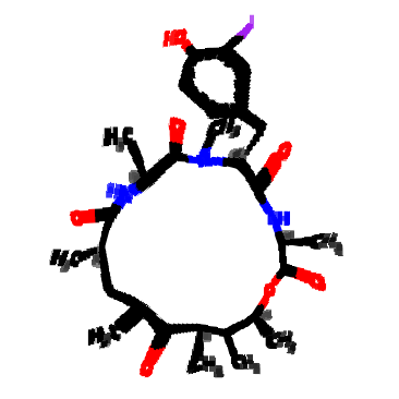 C=C1C[C@H](C)C(=O)N[C@@H](C)C(=O)N(C)[C@H](Cc2ccc(O)c(I)c2)C(=O)N[C@@H](C)C(=O)O[C@@H](C)C(C)[C@@H](C)C1=O